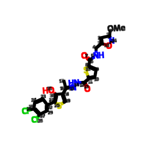 COc1cc(CNC(=O)c2ccc(C(=O)N/N=C(\C)c3csc(-c4ccc(Cl)c(Cl)c4)c3O)s2)on1